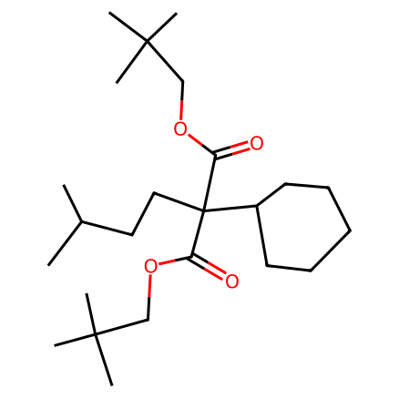 CC(C)CCC(C(=O)OCC(C)(C)C)(C(=O)OCC(C)(C)C)C1CCCCC1